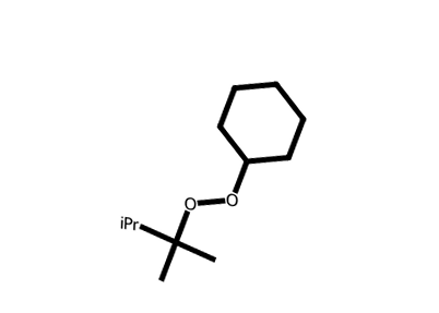 CC(C)C(C)(C)OOC1CCCCC1